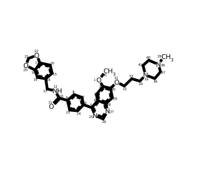 COc1cc2c(-c3ccc(C(=O)NCc4ccc5c(c4)OCO5)cc3)ncnc2cc1OCCCN1CCN(C)CC1